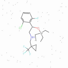 CC[Si](CC)(CC)OC(CNCC1(C(F)(F)F)CC1)c1c(F)cccc1Cl